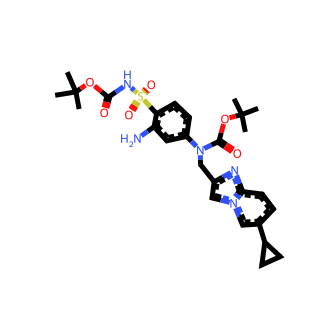 CC(C)(C)OC(=O)NS(=O)(=O)c1ccc(N(Cc2cn3cc(C4CC4)ccc3n2)C(=O)OC(C)(C)C)cc1N